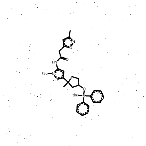 Cc1cc(CC(=O)Nc2cc(C3(C)CCC(O[Si](c4ccccc4)(c4ccccc4)C(C)(C)C)C3)nn2C(C)(C)C)on1